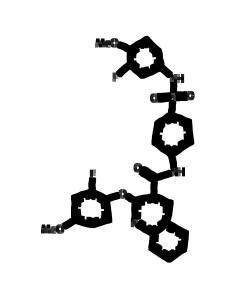 COc1ccc(Oc2nc3ccccc3cc2C(=O)Nc2ccc(S(=O)(=O)Nc3ccc(OC)c(F)c3)cc2)c(F)c1